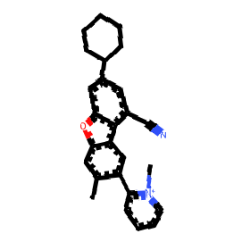 Cc1cc2oc3cc(C4CCCCC4)cc(C#N)c3c2cc1-c1cccc[n+]1C